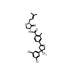 CC(C)=CCN1OC[C@@H](NC(=O)c2ccc(C3=NCC(c4cc(Cl)cc(Cl)c4)(C(F)(F)F)C3)cc2C)C1=O